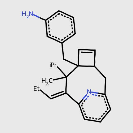 CC/C=C1/c2cccc(n2)CC2C=CC2(Cc2cccc(N)c2)C1(C)C(C)C